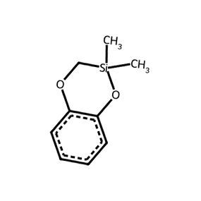 C[Si]1(C)COc2ccccc2O1